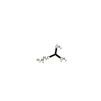 CC(C)C.[AlH3]